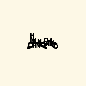 Cc1cc2[nH]c(-c3n[nH]c4c3CC3CC3C4)nc2cc1NC(=O)C(C)N1CCOCC1